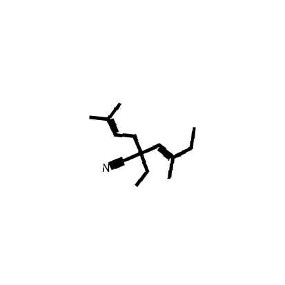 CCC(C)=CC(C#N)(CC)CC=C(C)C